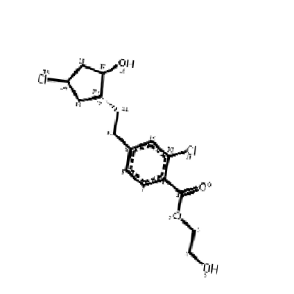 O=C(OCCO)c1ccc(CC[C@@H]2CC(Cl)CC2O)cc1Cl